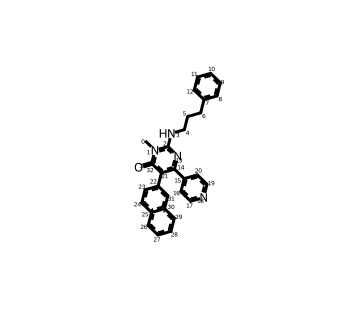 Cn1c(NCCCc2ccccc2)nc(-c2ccncc2)c(-c2ccc3ccccc3c2)c1=O